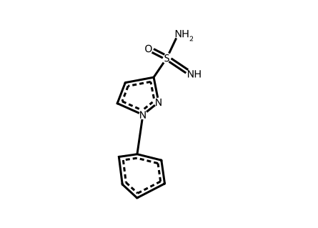 N=S(N)(=O)c1ccn(-c2ccccc2)n1